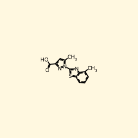 Cc1cccc2sc(-n3nc(C(=O)O)cc3C)nc12